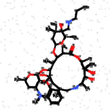 CCC1OC(=O)C(C)C(O[C@H]2C[C@@](C)(OC)[C@](O)(CNCCOC)[C@H](C)O2)C(C)C(O[C@@H]2O[C@H](C)C[C@H](N(C)C)[C@H]2Oc2ccccc2)C(C)(O)CC(C)CNC(C)C(O)C1(C)O